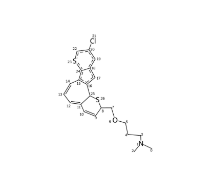 CN(C)CCCOCC1C=CC2=CC=Cc3c(cc4cc(Cl)csc3-4)C2S1